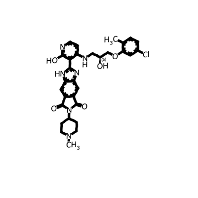 Cc1ccc(Cl)cc1OC[C@@H](O)CNc1ccnc(O)c1-c1nc2cc3c(cc2[nH]1)C(=O)N(C1CCN(C)CC1)C3=O